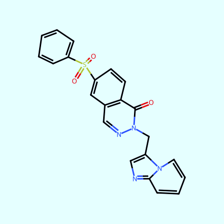 O=c1c2ccc(S(=O)(=O)c3ccccc3)cc2cnn1Cc1cnc2ccccn12